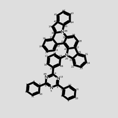 c1ccc(-c2nc(-c3ccccc3)nc(-c3cccc(-n4c5ccccc5c5ccc6c(c7ccccc7c7cc8ccccc8n76)c54)c3)n2)cc1